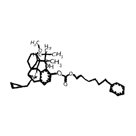 COC12CCC3(CC1C(C)(O)C(C)(C)C)C1Cc4ccc(OC(=O)OCCCCCCc5ccccc5)c5c4C3(CCN1CC1CC1)C2O5